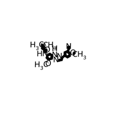 COc1cc(NC(=O)CN(C)C)cc(Nc2nccc(-c3ccc(OC)c(C#N)c3)n2)c1